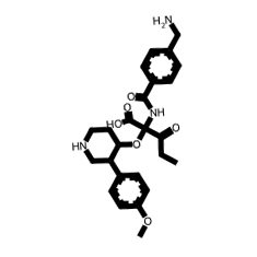 CCC(=O)C(NC(=O)c1ccc(CN)cc1)(OC1CCNCC1c1ccc(OC)cc1)C(=O)O